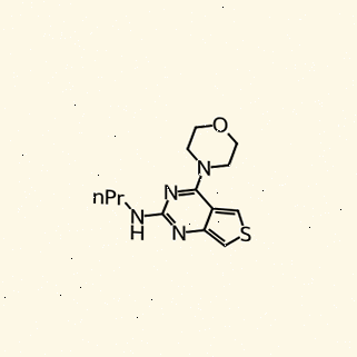 CCCNc1nc(N2CCOCC2)c2cscc2n1